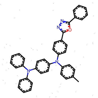 Cc1ccc(N(c2ccc(-c3nnc(-c4ccccc4)o3)cc2)c2ccc(N(c3ccccc3)c3ccccc3)cc2)cc1